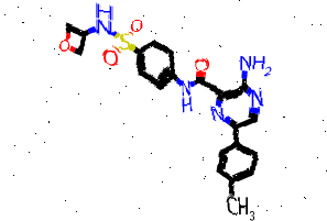 Cc1ccc(-c2cnc(N)c(C(=O)Nc3ccc(S(=O)(=O)NC4COC4)cc3)n2)cc1